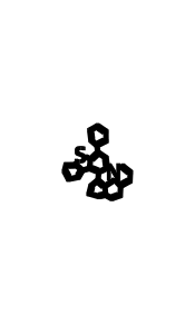 c1ccc(-c2ccc(-c3cccc4ccc5cccnc5c34)c3c2sc2ccccc23)cc1